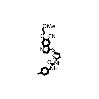 COCCOc1cc2nccc(SC3=CCC(NC(=O)Nc4ccc(C)cc4)S3)c2cc1C#N